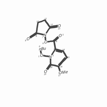 CCCCOn1c(C(=O)ON2C(=O)CCC2=O)ccc(OC)c1=O